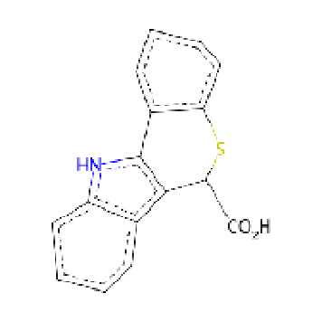 O=C(O)C1Sc2ccccc2-c2[nH]c3ccccc3c21